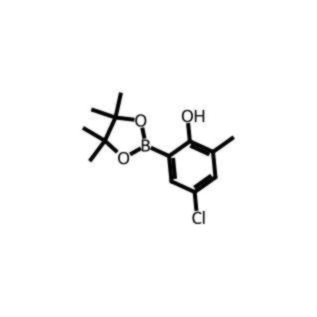 Cc1cc(Cl)cc(B2OC(C)(C)C(C)(C)O2)c1O